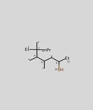 CCCC(C)(CC)C(C)C(C)CC(S)CC